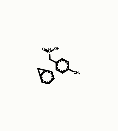 Cc1ccc(C[PH](=O)O)cc1.c1ccc2c(c1)C2